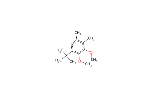 COc1c(C(C)(C)C)[c]c(C)c(C)c1OC